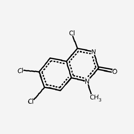 Cn1c(=O)nc(Cl)c2cc(Cl)c(Cl)cc21